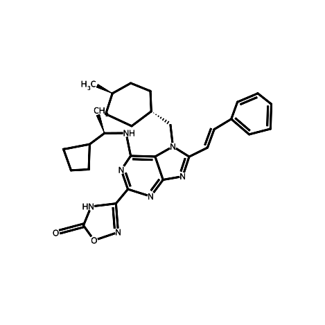 C[C@@H](Nc1nc(-c2noc(=O)[nH]2)nc2nc(/C=C/c3ccccc3)n(C[C@H]3CC[C@H](C)CC3)c12)C1CCC1